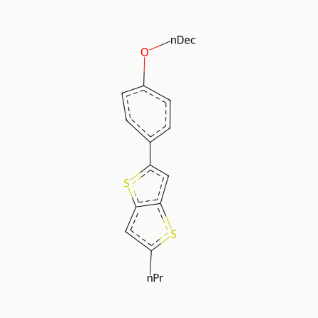 CCCCCCCCCCOc1ccc(-c2cc3sc(CCC)cc3s2)cc1